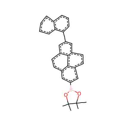 CC1(C)OB(c2cc3ccc4cc(-c5cccc6ccccc56)cc5ccc(c2)c3c45)OC1(C)C